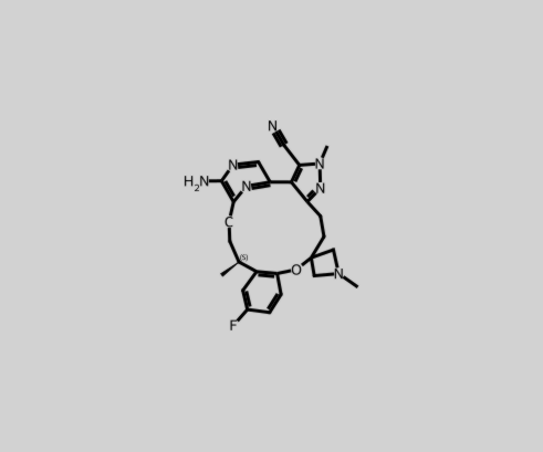 C[C@H]1CCc2nc(cnc2N)-c2c(nn(C)c2C#N)CCC2(CN(C)C2)Oc2ccc(F)cc21